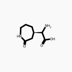 NC(C(=O)O)[C@@H]1CCCNC(=O)C1